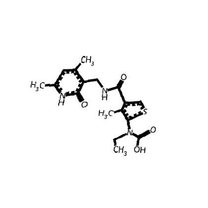 CCN(C(=O)O)c1scc(C(=O)NCc2c(C)cc(C)[nH]c2=O)c1C